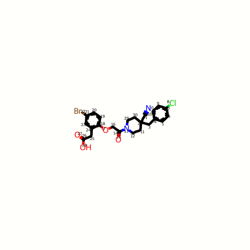 N#CC1(Cc2ccc(Cl)cc2)CCN(C(=O)COc2ccc(Br)cc2CC(=O)O)CC1